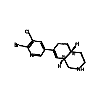 Clc1cc(C2=C[C@H]3CNCC[C@H]3CC2)cnc1Br